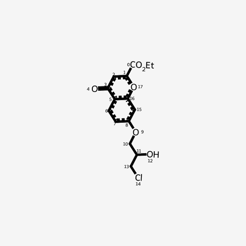 CCOC(=O)c1cc(=O)c2ccc(OCC(O)CCl)cc2o1